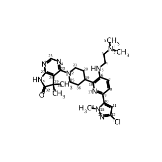 CN(C)CCNc1ccc(-c2cc(Cl)nn2C)nc1C1CCN(c2ncnc3c2C(C)(C)C(=O)N3)CC1